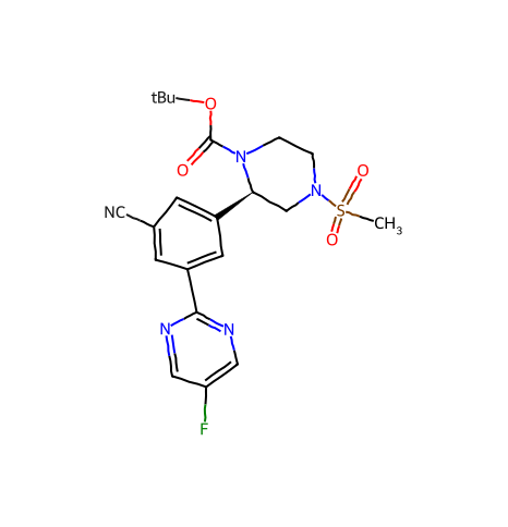 CC(C)(C)OC(=O)N1CCN(S(C)(=O)=O)C[C@H]1c1cc(C#N)cc(-c2ncc(F)cn2)c1